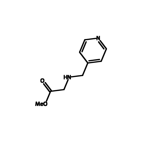 COC(=O)CNCc1ccncc1